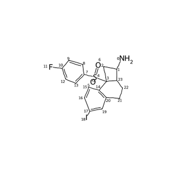 NC1CC2(S(=O)(=O)c3ccc(F)cc3)c3ccc(I)cc3CCC12